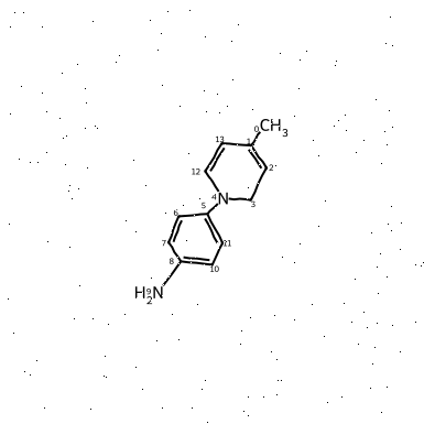 CC1=CCN(c2ccc(N)cc2)C=C1